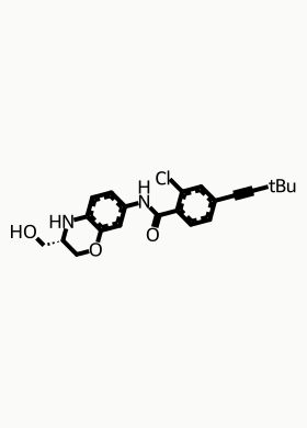 CC(C)(C)C#Cc1ccc(C(=O)Nc2ccc3c(c2)OC[C@H](CO)N3)c(Cl)c1